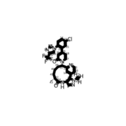 [2H]C([2H])([2H])n1ncc2c1-c1ccnc(c1)[C@@H](n1ccc(-c3cc(Cl)ccc3-n3cc(C(F)(F)F)nn3)cc1=O)CCC[C@@H](C)C(=O)N2